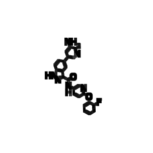 Nc1cncc(-c2ccc3[nH]nc(C(=O)Nc4ccc(Oc5ccccc5F)nc4)c3c2)c1